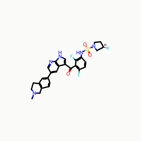 CN1CCc2cc(-c3cnc4[nH]cc(C(=O)c5c(F)ccc(NS(=O)(=O)N6CC[C@@H](F)C6)c5F)c4c3)ccc2C1